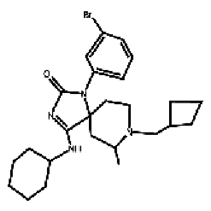 CC1CC2(CCN1CC1CCC1)C(NC1CCCCC1)=NC(=O)N2c1cccc(Br)c1